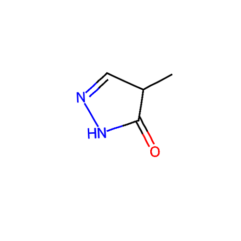 CC1C=NNC1=O